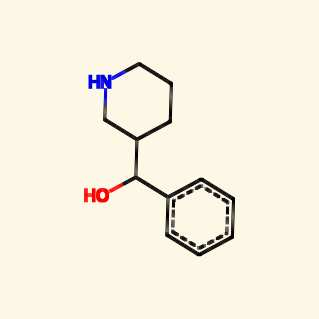 OC(c1ccccc1)C1CCCNC1